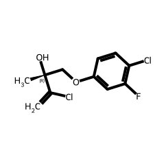 C=C(Cl)[C@](C)(O)COc1ccc(Cl)c(F)c1